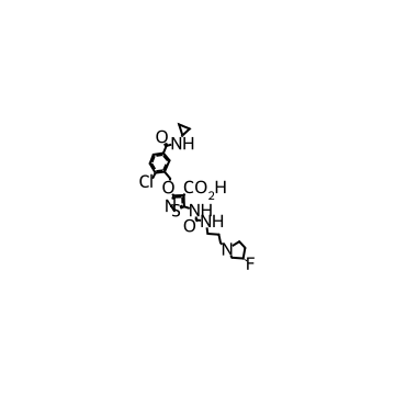 O=C(NCCCN1CC[C@H](F)C1)Nc1snc(OCc2cc(C(=O)NC3CC3)ccc2Cl)c1C(=O)O